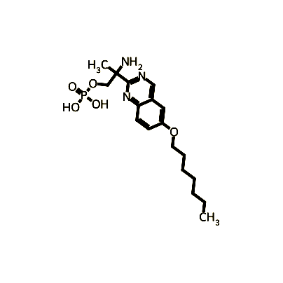 CCCCCCCOc1ccc2nc(C(C)(N)COP(=O)(O)O)ncc2c1